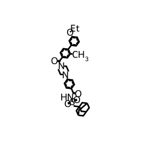 CCOc1cccc(-c2ccc(C(=O)N3CCN(c4ccc(C(=O)NS(=O)(=O)CC56CC7CC(CC(C7)C5)C6)cc4)CC3)cc2C)c1